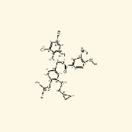 CSc1ccc(C(=O)O[C@@H](Cc2c(Cl)c[n+]([O-])cc2Cl)c2ccc(OC(F)F)c(OCC3CC3)c2)cc1N